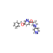 c1ccc(COc2ccc(OC3CCN(c4ccncc4)C3)nc2)cc1